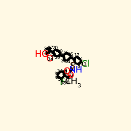 C[C@@H](OC(=O)NSc1cc(Cl)ccc1-c1ccc(-c2ccc(C3(C(=O)O)CC3)cc2)cc1)c1ccccc1F